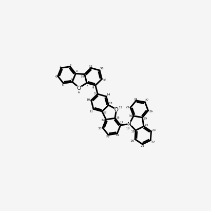 c1ccc2c(c1)oc1c(-c3ccc4c(c3)oc3c(-n5c6ccccc6c6ccccc65)cccc34)cccc12